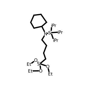 CCO[Si](CCCCN(C1CCCCC1)[Si](C(C)C)(C(C)C)C(C)C)(OCC)OCC